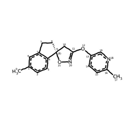 Cc1ccc2c(c1)CC[C@@]21CC(Oc2ccc(C)nc2)=NO1